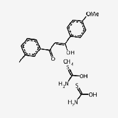 C.COc1ccc(C(O)=CC(=O)c2cccc(C)c2)cc1.NC(O)=S.NC(O)=S